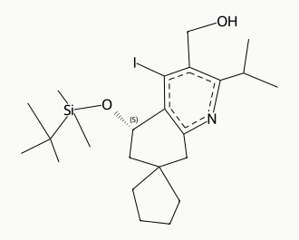 CC(C)c1nc2c(c(I)c1CO)[C@@H](O[Si](C)(C)C(C)(C)C)CC1(CCCC1)C2